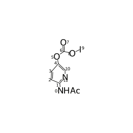 CC(=O)Nc1ccc(OC(=O)OI)cn1